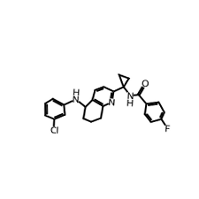 O=C(NC1(c2ccc3c(n2)CCCC3Nc2cccc(Cl)c2)CC1)c1ccc(F)cc1